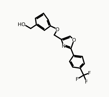 OCc1cccc(OCc2coc(-c3ccc(C(F)(F)F)cc3)n2)c1